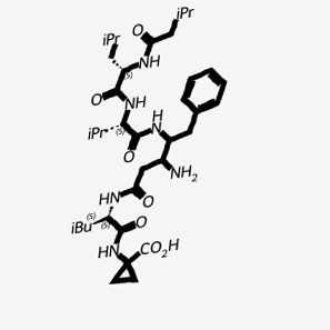 CC[C@H](C)[C@H](NC(=O)CC(N)C(Cc1ccccc1)NC(=O)[C@@H](NC(=O)[C@H](CC(C)C)NC(=O)CC(C)C)C(C)C)C(=O)NC1(C(=O)O)CC1